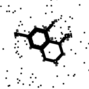 O[C@H]1COCc2cc(Br)cc(F)c21